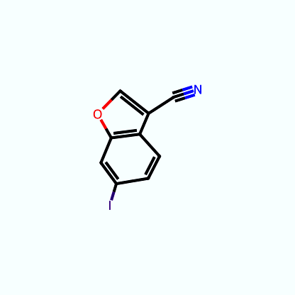 N#Cc1coc2cc(I)ccc12